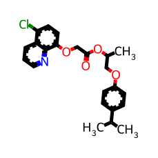 CC(COc1ccc(C(C)C)cc1)OC(=O)COc1ccc(Cl)c2cccnc12